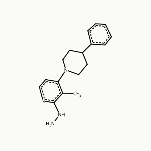 NNc1nccc(N2CCC(c3ccccc3)CC2)c1C(F)(F)F